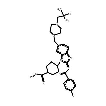 CC(C)NC(=O)C1CCC(n2/c(=N\C(=O)c3ccc(F)cc3)[nH]c3ccc(CN4CCN(CC(C)(C)O)CC4)cc32)CC1